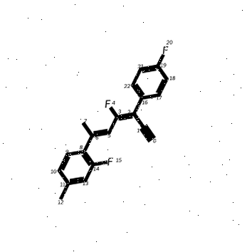 C#C/C(=C(F)\C=C(/C)c1ccc(C)cc1F)c1ccc(F)cc1